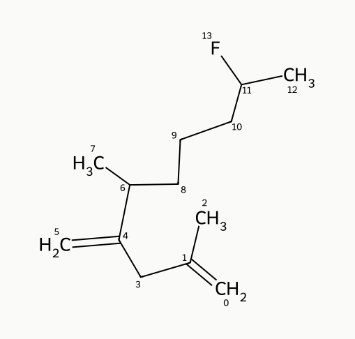 C=C(C)CC(=C)C(C)CCCC(C)F